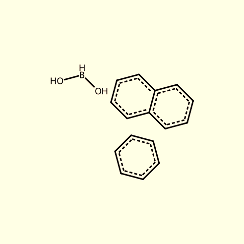 OBO.c1ccc2ccccc2c1.c1ccccc1